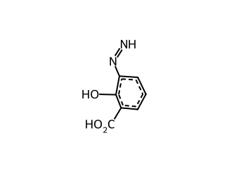 N=Nc1cccc(C(=O)O)c1O